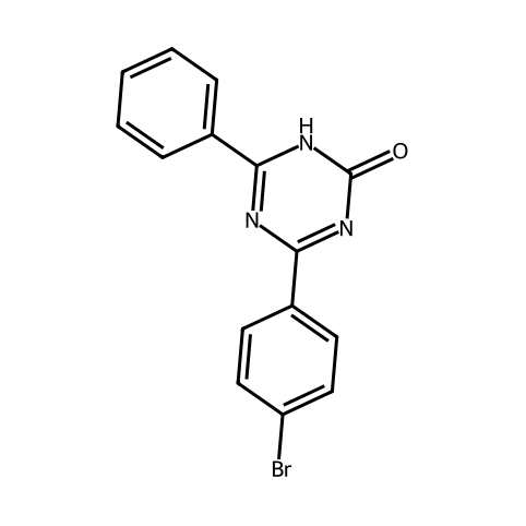 O=c1nc(-c2ccc(Br)cc2)nc(-c2ccccc2)[nH]1